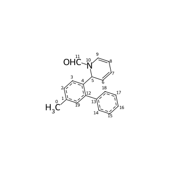 Cc1ccc(C2C=CC=CN2C=O)c(-c2ccccc2)c1